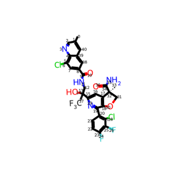 Cc1cnc2c(Cl)cc(C(=O)NCC(O)(c3cc4c(c(-c5ccc(F)c(F)c5Cl)n3)OC[C@]4(C)C(N)=O)C(F)(F)F)cc2c1